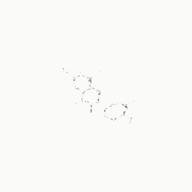 CCn1c(=O)c(-c2ccc(F)c(Cl)c2)cc2c(C)nc(N)nc21